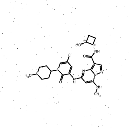 CNc1cc(Nc2cc(Cl)cn(C3CCN(C)CC3)c2=O)nc2c(C(=O)N[C@H]3CC[C@@H]3O)cnn12